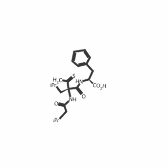 CC(=S)[C@@](CC(C)C)(NC(=O)CC(C)C)C(=O)N[C@@H](Cc1ccccc1)C(=O)O